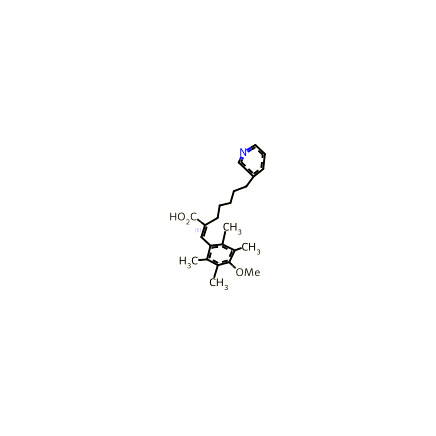 COc1c(C)c(C)c(/C=C(\CCCCCc2cccnc2)C(=O)O)c(C)c1C